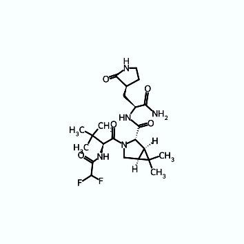 CC(C)(C)[C@H](NC(=O)C(F)F)C(=O)N1C[C@H]2[C@@H]([C@H]1C(=O)N[C@@H](C[C@@H]1CCNC1=O)C(N)=O)C2(C)C